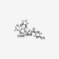 COc1nc(C2CC2)cc(O[C@@H]2CCC[C@@H]2N)c1-c1cc(Nc2cnc(C#N)cn2)n[nH]1